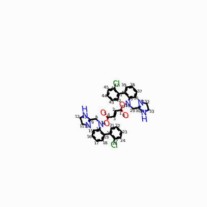 O=C(/C=C/C(=O)ON(CC1=NCCN1)c1ccccc1-c1ccccc1Cl)ON(CC1=NCCN1)c1ccccc1-c1ccccc1Cl